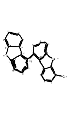 Clc1cccc2c1sc1cccc(-c3cccc4sc5ccccc5c34)c12